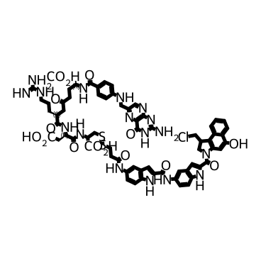 N=C(N)NCCC[C@@H](CC(=O)CC[C@@H](NC(=O)c1ccc(NCc2cnc3nc(N)[nH]c(=O)c3n2)cc1)C(=O)O)C(=O)N[C@H](CC(=O)O)C(=O)NC(CSSCCC(=O)Nc1ccc2[nH]c(C(=O)Nc3ccc4[nH]c(C(=O)N5CC(CCl)c6c5cc(O)c5ccccc65)cc4c3)cc2c1)C(=O)O